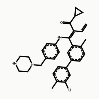 C=C/C(C(=O)C1CC1)=C(/Nc1ccc(CN2CCNCC2)cc1)c1cc(-c2ccc(C)c(Cl)c2)ccc1C